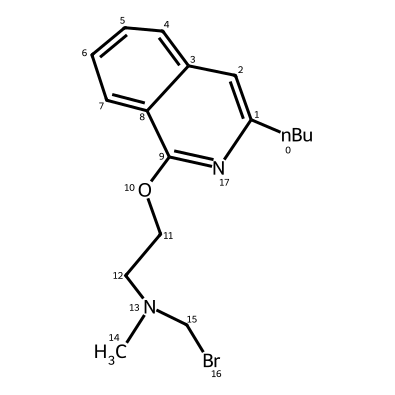 CCCCc1cc2ccccc2c(OCCN(C)CBr)n1